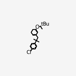 CC(OC1=CC(CC(C)(C)c2ccc(Cl)cc2)=CCC1)C(C)(C)C